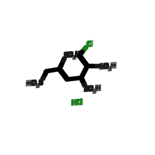 Cl.O=S(=O)(O)[CH]C(CC(C(CCl)S(=O)(=O)O)S(=O)(=O)O)S(=O)(=O)O